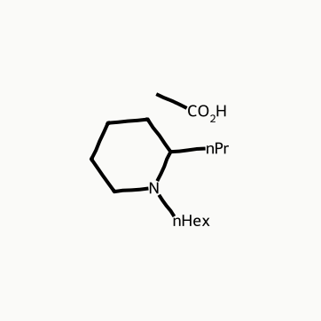 CC(=O)O.CCCCCCN1CCCCC1CCC